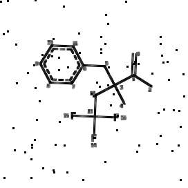 C=C(C)C(C)(Cc1ccccc1)CC(F)(F)F